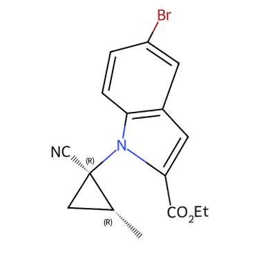 CCOC(=O)c1cc2cc(Br)ccc2n1[C@]1(C#N)C[C@H]1C